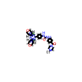 CCN1CCN(C(=O)c2ccc(NC(=O)Nc3ccc(-c4nc(N5[C@@H]6COC[C@H]5[C@@H](F)C6)nc(N5[C@@H]6COC[C@H]5[C@@H](F)C6)n4)cc3)cc2)CC1